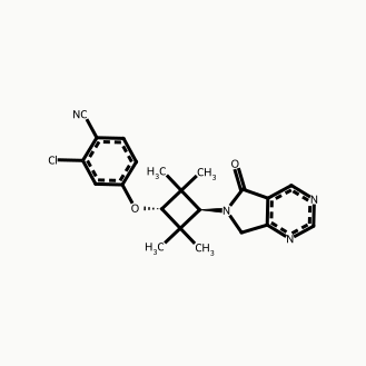 CC1(C)[C@H](Oc2ccc(C#N)c(Cl)c2)C(C)(C)[C@H]1N1Cc2ncncc2C1=O